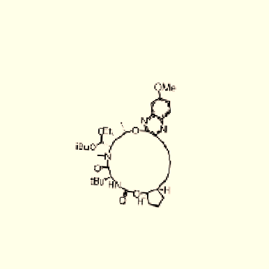 CC[C@@H]1[C@H](C)Oc2nc3cc(OC)ccc3nc2CCCCC[C@@H]2CCC[C@H]2OC(=O)N[C@@H](C(C)(C)C)C(=O)N(C)[C@@H]1C(=O)OCC(C)C